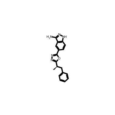 C[C@H](Cc1ccccc1)c1nnc(-c2ccc3[nH]nc(N)c3c2)o1